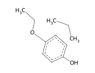 CCC.CCOc1ccc(O)cc1